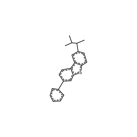 CC(C)C(C)c1ccc2sc3cc(-c4ccccc4)ccc3c2c1